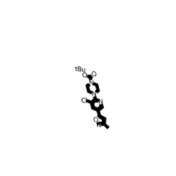 Cc1cc(-c2cnc(N3CCN(C(=O)OC(C)(C)C)CC3)c(Cl)c2)on1